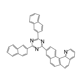 c1ccc2cc(-c3nc(-c4ccc5ccccc5c4)nc(-c4ccc5c(ccc6ccc7cccnc7c65)c4)n3)ccc2c1